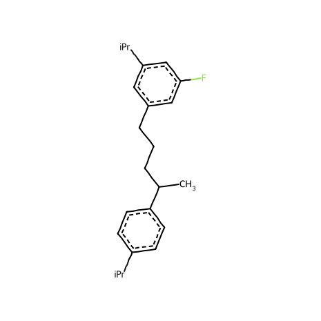 CC(C)c1ccc(C(C)CCCc2cc(F)cc(C(C)C)c2)cc1